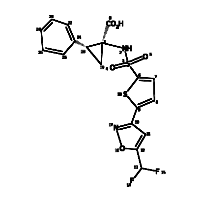 O=C(O)[C@]1(NS(=O)(=O)c2ccc(-c3cc(C(F)F)on3)s2)C[C@@H]1c1ccccc1